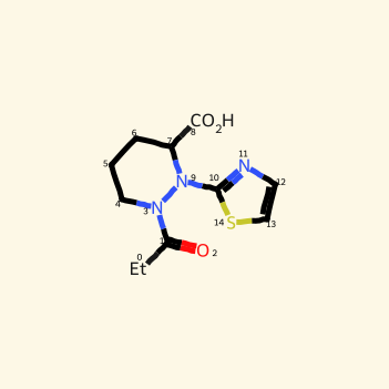 CCC(=O)N1CCCC(C(=O)O)N1c1nccs1